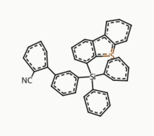 N#Cc1ccccc1-c1cccc([Si](c2ccccc2)(c2ccccc2)c2cccc3c2sc2ccccc23)c1